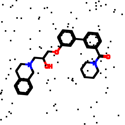 O=C(c1cccc(-c2cccc(OCC(O)CN3CCc4ccccc4C3)c2)c1)N1CCCCC1